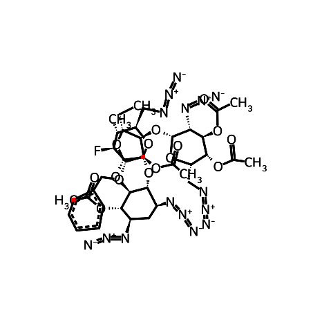 CC[C@H]1O[C@@H](O[C@@H]2[C@@H](OC(C)=O)[C@H](N=[N+]=[N-])C[C@H](N=[N+]=[N-])[C@H]2O[C@H]2O[C@H](CN=[N+]=[N-])[C@@H](C)[C@H](F)[C@H]2OCc2ccccc2)[C@H](OC(C)=O)[C@@H]1O[C@H]1O[C@@H](CN=[N+]=[N-])[C@@H](OC(C)=O)[C@H](OC(C)=O)[C@H]1N=[N+]=[N-]